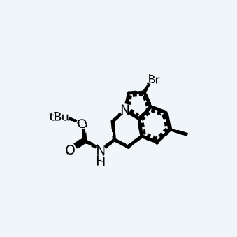 Cc1cc2c3c(c1)c(Br)cn3CC(NC(=O)OC(C)(C)C)C2